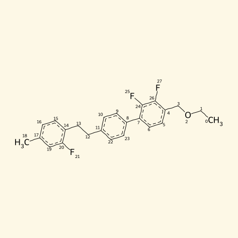 CCOCc1ccc(-c2ccc(CCc3ccc(C)cc3F)cc2)c(F)c1F